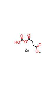 COC(=O)CCC(=O)OC(=O)O.[Zn]